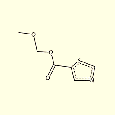 COCOC(=O)c1cncs1